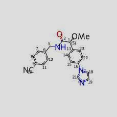 CO[C@H](C(=O)NCc1ccc(C#N)cc1)c1ccc(-n2ccnc2)cc1